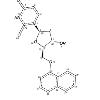 O=c1ccn([C@H]2C[C@H](O)[C@@H](COc3cccc4ccccc34)O2)c(=O)[nH]1